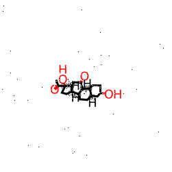 [CH2]C(=O)[C@@]1(O)CC[C@H]2[C@@H]3CC[C@H]4CC(O)CC[C@]4(C)[C@H]3C(=O)C[C@@]21C